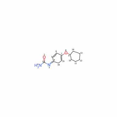 NC(=O)N=C1C=CC(OC2CCCCC2)=CC1